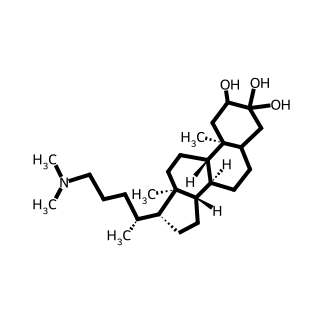 C[C@H](CCCN(C)C)[C@H]1CC[C@H]2[C@@H]3CCC4CC(O)(O)C(O)C[C@]4(C)[C@H]3CC[C@]12C